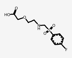 O=C(O)COCCNCS(=O)(=O)c1ccc(F)cc1